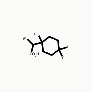 CC(C)C(C(=O)O)C1(O)CCC(F)(F)CC1